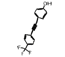 Oc1ccc(C#Cc2ccc(C(F)(F)F)cc2)cc1